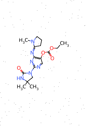 CCOC(=O)Oc1cnc(N2CC(C)(C)NC2=O)nc1N=C1CCCN1C